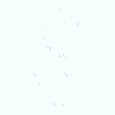 CNC[C@@H]1CCCN(c2c(NC(=O)c3csc(-c4ccnnc4)n3)ccc(OC(C)(C)C)c2C(F)(F)F)C1